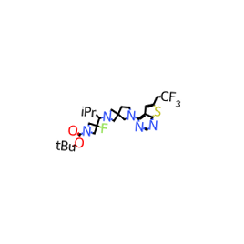 CC(C)C(N1CC2(CCN(c3ncnc4sc(CC(F)(F)F)cc34)C2)C1)C1(F)CN(C(=O)OC(C)(C)C)C1